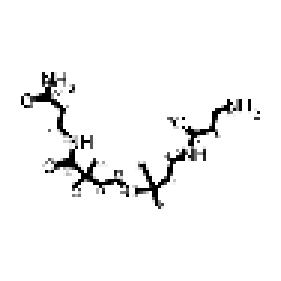 CC(C)(CCNC(=O)CCN)OCCC(C)(C)C(=O)NCCC(N)=O